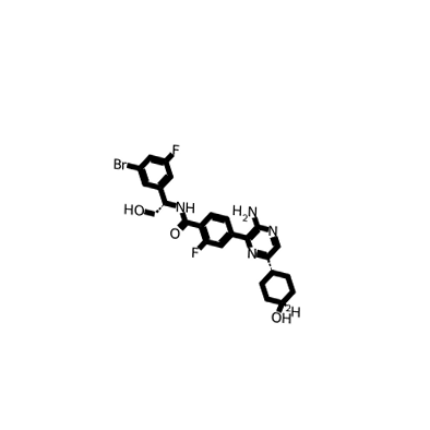 [2H][C@]1(O)CC[C@H](c2cnc(N)c(-c3ccc(C(=O)N[C@H](CO)c4cc(F)cc(Br)c4)c(F)c3)n2)CC1